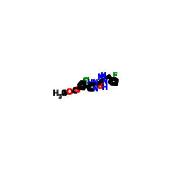 CCOCCOc1ccc(Cl)c(-c2ccnc(NC(=O)c3nnc(Cc4ccccc4F)[nH]3)c2)c1